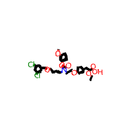 CCOC(Cc1ccc(OCCN(CCCCOCc2cc(Cl)cc(Cl)c2)C(=O)Oc2cccc(OC)c2)cc1)C(=O)O